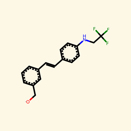 [O]Cc1cccc(C=Cc2ccc(NCC(F)(F)F)cc2)c1